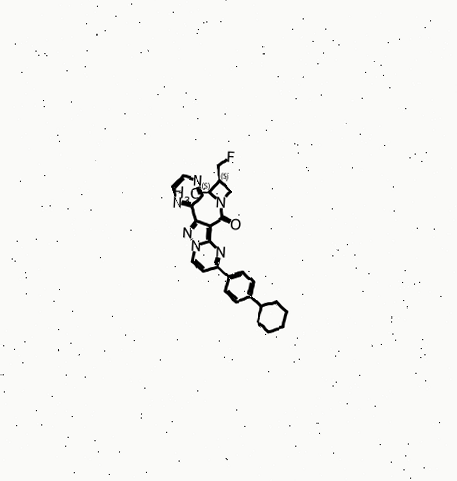 C[C@H]1[C@@H](CF)CN1C(=O)c1c(-c2cnccn2)nn2ccc(-c3ccc(C4CCCCC4)cc3)nc12